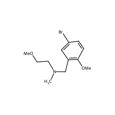 COCCN(C)Cc1cc(Br)ccc1OC